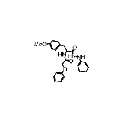 COc1ccc(CC(NC(=O)COc2ccccc2)C(=O)NNc2ccccc2)cc1